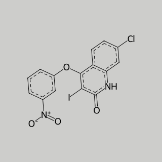 O=c1[nH]c2cc(Cl)ccc2c(Oc2cccc([N+](=O)[O-])c2)c1I